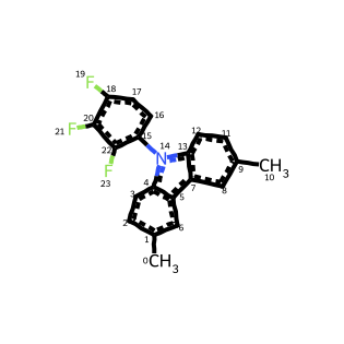 Cc1ccc2c(c1)c1cc(C)ccc1n2-c1ccc(F)c(F)c1F